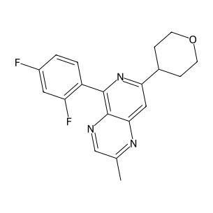 Cc1cnc2c(-c3ccc(F)cc3F)nc(C3CCOCC3)cc2n1